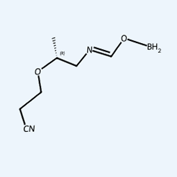 BOC=NC[C@@H](C)OCCC#N